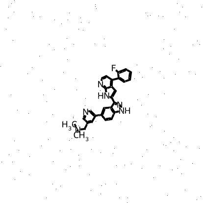 CN(C)Cc1cncc(-c2ccc3[nH]nc(-c4cc5c(-c6ccccc6F)ccnc5[nH]4)c3c2)c1